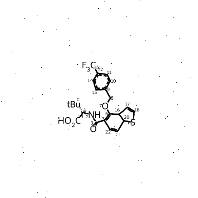 CC(C)(C)[C@H](NC(=O)C1=C(OCc2ccc(C(F)(F)F)cc2)C2C=CSC2C=C1)C(=O)O